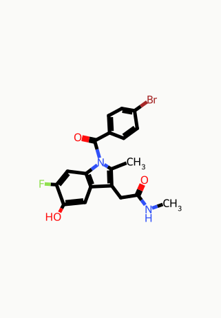 CNC(=O)Cc1c(C)n(C(=O)c2ccc(Br)cc2)c2cc(F)c(O)cc12